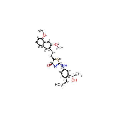 CCCOc1cc2c(OCCC)cccc2cc1CC=C1SC(Nc2ccc(CC(=O)O)c(C(C)O)c2)=NC1=O